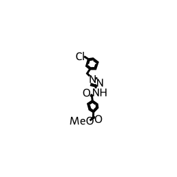 COC(=O)c1ccc(C(=O)Nc2cn(Cc3cccc(Cl)c3)cn2)cc1